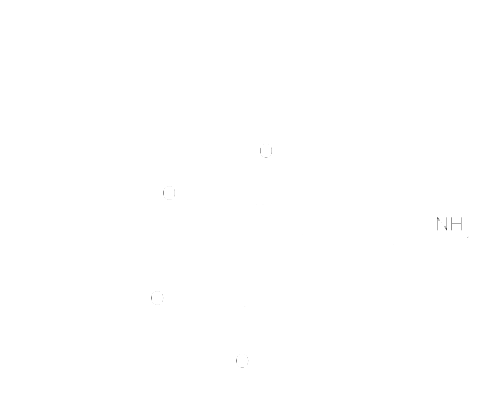 Nc1ccc2c(c1)C(=O)C(Oc1ccccc1)=C(Oc1ccccc1)C2=O